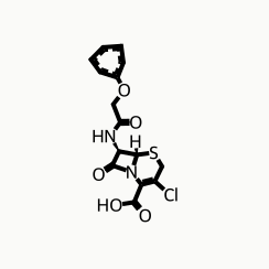 O=C(COc1ccccc1)N[C@@H]1C(=O)N2C(C(=O)O)=C(Cl)CS[C@@H]12